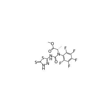 COC(=O)[C@H](C)N(C(=O)Nc1n[nH]c(=S)s1)c1c(F)c(F)c(F)c(F)c1F